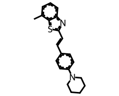 Cc1cccc2nc(C=Cc3ccc(N4CCCCC4)cc3)sc12